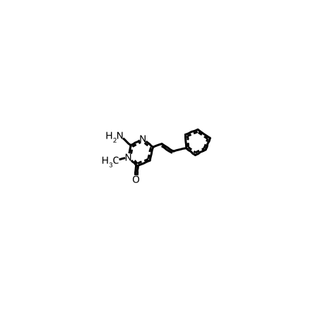 Cn1c(N)nc(C=Cc2ccccc2)cc1=O